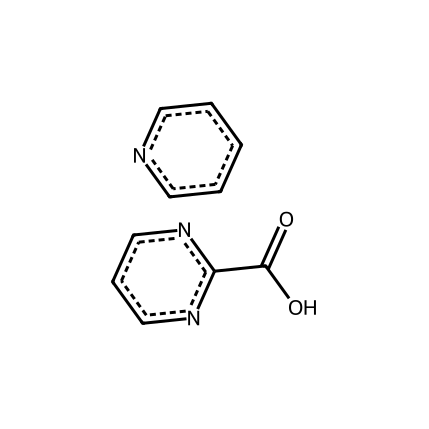 O=C(O)c1ncccn1.c1ccncc1